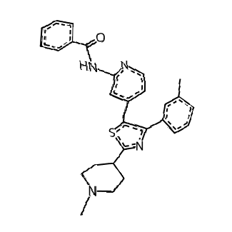 Cc1cccc(-c2nc(C3CCN(C)CC3)sc2-c2ccnc(NC(=O)c3ccccc3)c2)c1